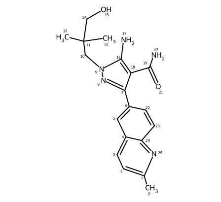 Cc1ccc2cc(-c3nn(CC(C)(C)CO)c(N)c3C(N)=O)ccc2n1